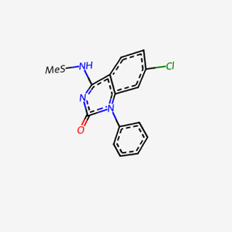 CSNc1nc(=O)n(-c2ccccc2)c2cc(Cl)ccc12